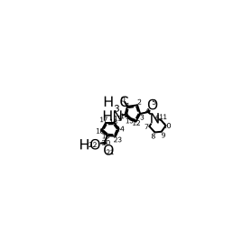 Cc1cc(C(=O)N2CCCCC2)ccc1Nc1ccc(C(=O)O)cc1